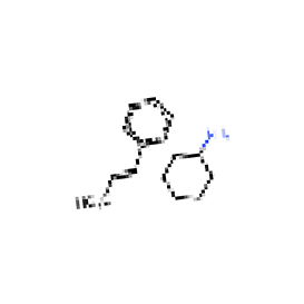 NC1CCCCC1.O=C(O)C=Cc1ccccc1